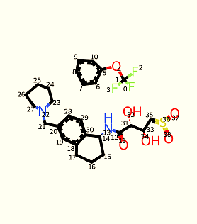 FC(F)(F)Oc1ccccc1.O=C(N[C@@H]1CCCc2cc(CN3CCCCC3)ccc21)[C@H](O)[C@H](O)C=S(=O)=O